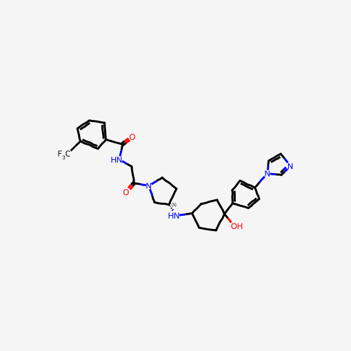 O=C(NCC(=O)N1CC[C@H](NC2CCC(O)(c3ccc(-n4ccnc4)cc3)CC2)C1)c1cccc(C(F)(F)F)c1